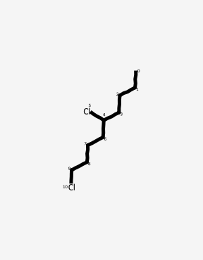 CCCCC(Cl)CCCCCl